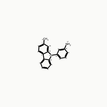 Cc1ccc2c3ccccc3n(-c3cccc(N)c3)c2c1